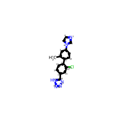 Cc1cc(-n2ccnc2)ccc1-c1ccc(-c2nnn[nH]2)cc1Cl